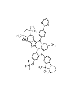 Cc1cc2c3c(c1)N(c1ccc(-c4ncncn4)cc1)c1c(sc4cc5c(cc14)C(C)(C)CCC5(C)C)B3c1ccc(OC(F)(F)F)cc1N2c1ccc2c(c1)C(C)(C)C1CCCCC21